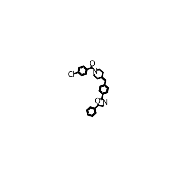 O=C(c1ccc(Cl)cc1)N1CCC(=Cc2ccc(C3=NCC(c4ccccc4)O3)cc2)CC1